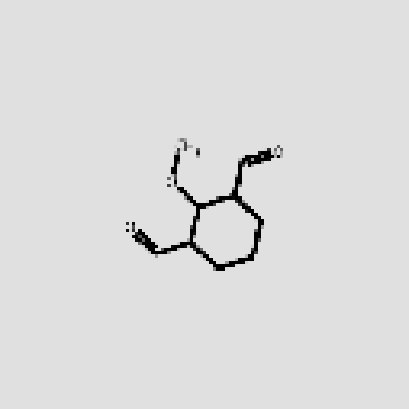 COC1C(C=O)CCCC1C=O